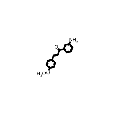 COc1ccc(/C=C/C(=O)c2cccc(N)c2)cc1